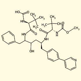 COC(=O)N[C@H](C(=O)N[C@@H](Cc1ccc(-c2cccnc2)cc1)CC(O)C(Cc1ccccc1)NC(=O)[C@@H](NC(=O)O)C(C)(C)C)C(C)(C)C